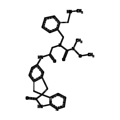 CNCc1ccccc1CN(CC(=O)Nc1ccc2c(c1)CC1(C2)C(=O)Nc2ncccc21)C(=O)N(C)OC